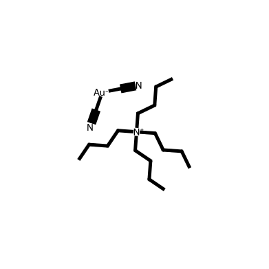 CCCC[N+](CCCC)(CCCC)CCCC.N#[C][Au-][C]#N